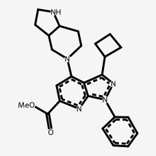 COC(=O)c1cc(N2CCC3NCCC3C2)c2c(C3CCC3)nn(-c3ccccc3)c2n1